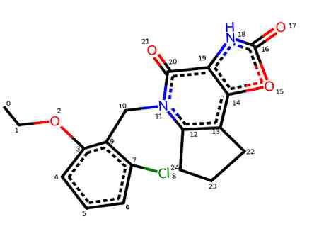 CCOc1cccc(Cl)c1Cn1c2c(c3oc(=O)[nH]c3c1=O)CCC2